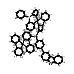 c1ccc(N2c3ccccc3C3(c4ccccc4-c4ccc(N(c5ccc(-c6ccc7oc8ccccc8c7c6)cc5)c5cccc6c5-c5ccccc5C65c6ccccc6-c6ccccc65)cc43)c3ccccc32)cc1